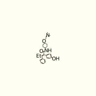 CC/C(=C(\C(=O)NC1CCC(OCCN(C)C)CC1)c1ccc(O)cc1)c1ccccc1